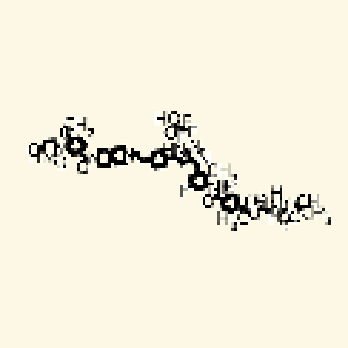 COc1ccc(C(=O)N2CCC3(CCN(CCc4ccc(-c5cc6c(-c7cc(F)cc(NC(=O)c8ccc(C(C)(C)OC(=O)CNC(=O)OC(C)(C)C)cc8F)c7C)ncnc6[nH]5)cc4)CC3)CC2)cc1N1CCC(=O)NC1=O.O=C(O)C(F)(F)F